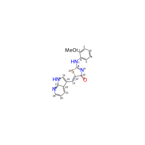 COc1ccccc1NC1=NC(=O)/C(=C/c2c[nH]c3ncccc23)S1